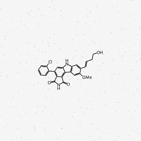 COc1cc2c(cc1/C=C/CCO)[nH]c1cc(-c3ccccc3Cl)c3c(c12)C(=O)NC3=O